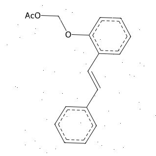 CC(=O)OCOc1ccccc1/C=C/c1ccccc1